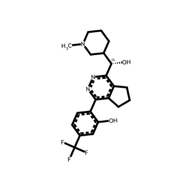 CN1CCCC([C@H](O)c2nnc(-c3ccc(C(F)(F)F)cc3O)c3c2CCC3)C1